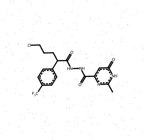 Cc1nc(C(=O)NNC(=O)C(CCCCl)c2ccc(C(F)(F)F)cc2)cc(=O)[nH]1